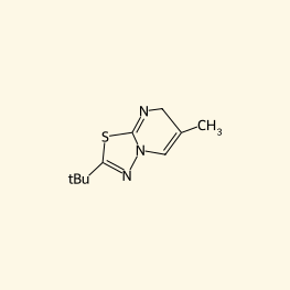 CC1=CN2N=C(C(C)(C)C)SC2=NC1